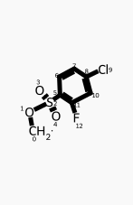 [CH2]OS(=O)(=O)c1ccc(Cl)cc1F